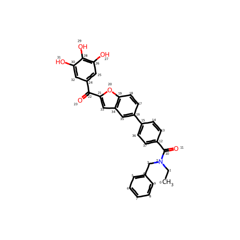 CCN(Cc1ccccc1)C(=O)c1ccc(-c2ccc3oc(C(=O)c4cc(O)c(O)c(O)c4)cc3c2)cc1